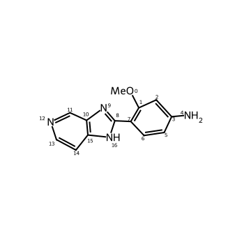 COc1cc(N)ccc1-c1nc2cnccc2[nH]1